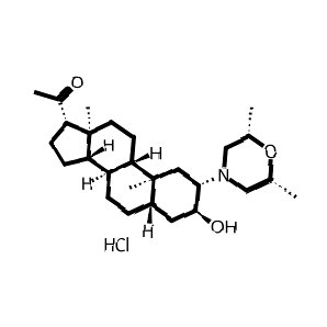 CC(=O)[C@H]1CC[C@H]2[C@@H]3CC[C@H]4C[C@H](O)[C@@H](N5C[C@@H](C)O[C@@H](C)C5)C[C@]4(C)[C@H]3CC[C@]12C.Cl